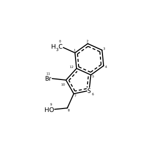 Cc1cccc2sc(CO)c(Br)c12